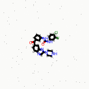 O=C(Nc1cccc(C(=O)c2ccc3ncc(N4CCNCC4)nc3c2)c1)Nc1ccc(Cl)c(F)c1